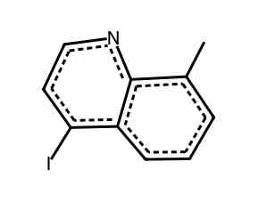 Cc1cccc2c(I)ccnc12